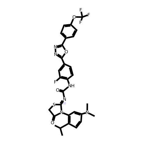 CC(C)c1ccc(N(C)C)cc1N1C(=O)CS/C1=N\C(=O)Nc1ccc(-c2nnc(-c3ccc(OC(F)(F)F)cc3)o2)cc1F